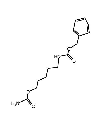 NC(=O)OCCCCCNC(=O)OCc1ccccc1